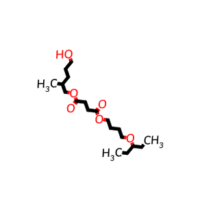 CCC(CC)OCCCCOC(=O)CCC(=O)OCC(C)CCCO